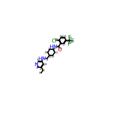 CCc1cncc(NCC2CCC(NC(=O)c3cc(C(F)(F)F)ccc3Cl)CC2)c1